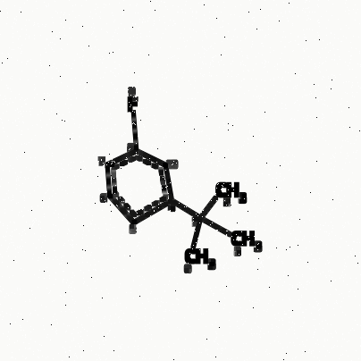 CC(C)(C)c1cc[c]c(F)c1